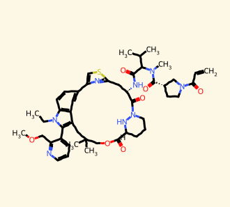 C=CC(=O)N1CC[C@H](C(=O)N(C)C(C(=O)N[C@H]2Cc3nc(cs3)-c3ccc4c(c3)c(c(-c3cccnc3COC)n4CC)CC(C)(C)COC(=O)[C@@H]3CCCN(N3)C2=O)C(C)C)C1